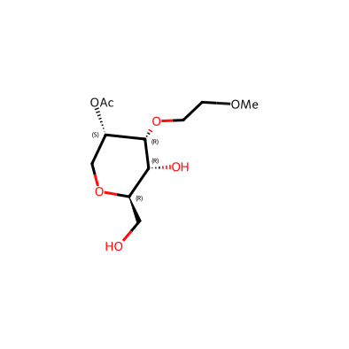 COCCO[C@@H]1[C@H](O)[C@@H](CO)OC[C@@H]1OC(C)=O